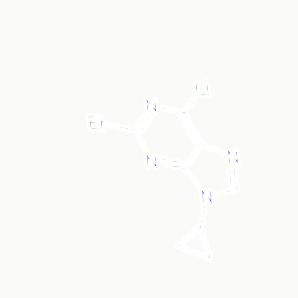 CCc1nc(Cl)c2ncn(C3CC3)c2n1